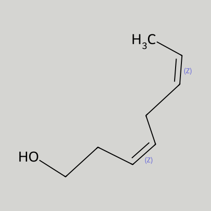 C/C=C\C/C=C\CCO